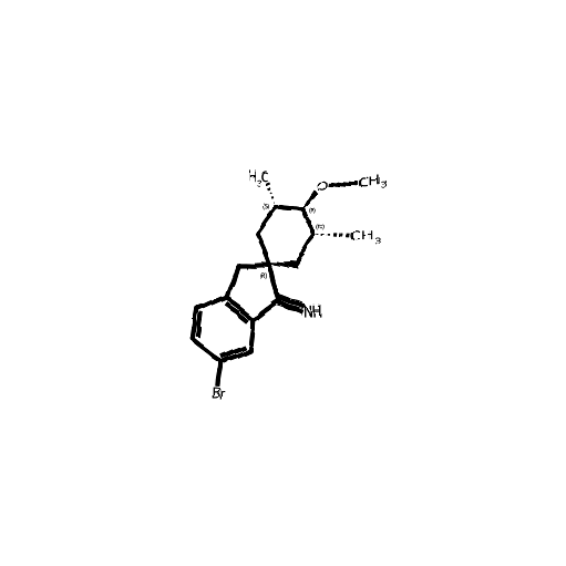 CO[C@H]1[C@H](C)C[C@@]2(Cc3ccc(Br)cc3C2=N)C[C@@H]1C